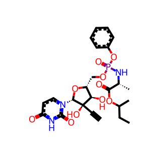 C#C[C@@]1(O)[C@H](O)[C@@H](COP(=O)(N[C@H](C)C(=O)OC(C)CC)Oc2ccccc2)O[C@H]1n1ccc(=O)[nH]c1=O